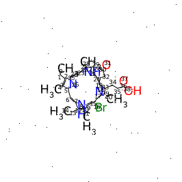 CCC1=C(C)c2cc3[nH]c(c(C)c3CC)c(Br)c3nc(c4c5[nH]c(cc1n2)c(C)c5C(=O)C4)[C@@H](CCC(=O)O)[C@@H]3C